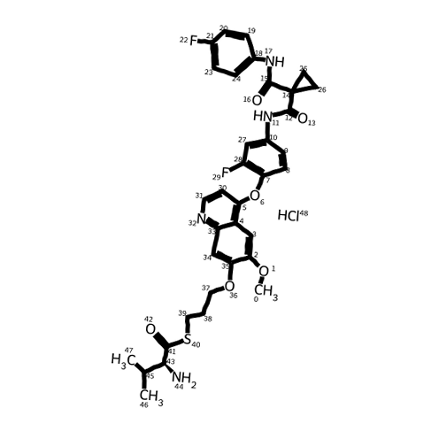 COc1cc2c(Oc3ccc(NC(=O)C4(C(=O)Nc5ccc(F)cc5)CC4)cc3F)ccnc2cc1OCCCSC(=O)[C@@H](N)C(C)C.Cl